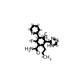 CCCc1c(C(N)=O)c(F)c(-c2ccccn2)c(C)c1-c1nnc[nH]1